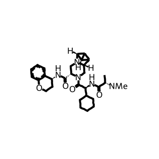 CN[C@@H](C)C(=O)N[C@H](C(=O)N1C[C@H]2C3C4[C@H]3[C@@H]4N2C[C@H]1C(=O)N[C@@H]1CCOc2ccccc21)C1CCCCC1